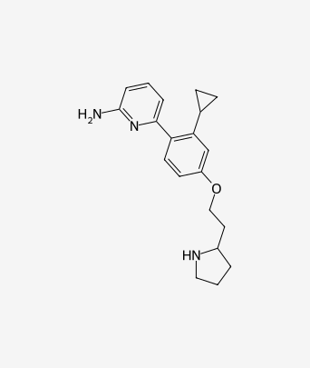 Nc1cccc(-c2ccc(OCCC3CCCN3)cc2C2CC2)n1